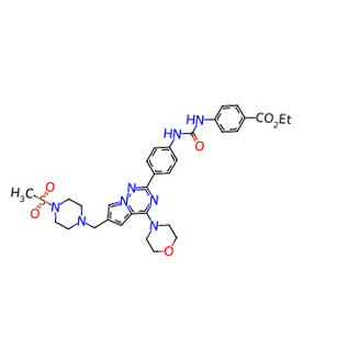 CCOC(=O)c1ccc(NC(=O)Nc2ccc(-c3nc(N4CCOCC4)c4cc(CN5CCN(S(C)(=O)=O)CC5)cn4n3)cc2)cc1